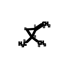 C=C1CC1(C)C